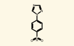 O=[SH](=O)c1ccc(-n2cncn2)cc1